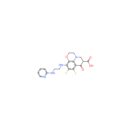 O=C(O)C1CN2CCOc3c(NCCNc4ccccn4)c(F)c(F)c(c32)C1=O